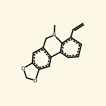 C=Cc1cccc2c1N(C)Cc1cc3c(cc1-2)OCO3